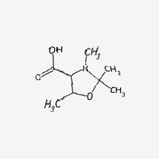 CC1OC(C)(C)N(C)C1C(=O)O